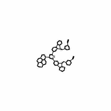 C#Cc1cccc(/C=C2\c3ccccc3-c3ccc(-c4cc(-c5ccc6ccc7cccc8ccc5c6c78)cc(-c5ccc6c(c5)/C(=C/c5cccc(C#C)c5)c5ccccc5-6)n4)cc32)c1